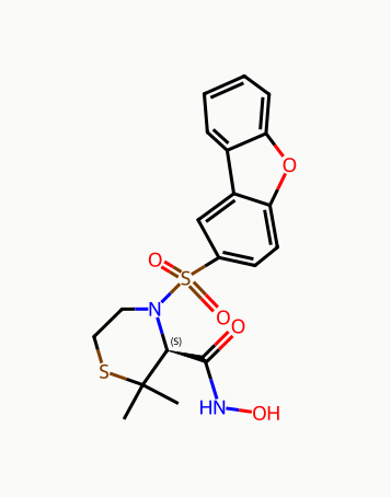 CC1(C)SCCN(S(=O)(=O)c2ccc3oc4ccccc4c3c2)[C@H]1C(=O)NO